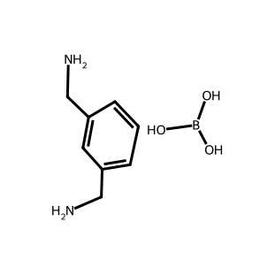 NCc1cccc(CN)c1.OB(O)O